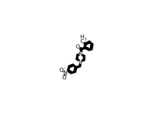 Cc1ccccc1C(=O)N1CCN(Cc2ccc([N+](=O)[O-])cc2)CC1